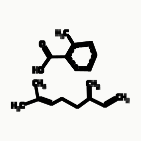 C=CC(=C)CCC=C(C)C.Cc1ccccc1C(=O)O